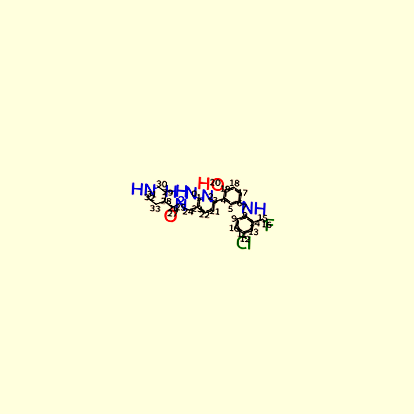 Nc1nc(-c2cc(Nc3ccc(Cl)cc3CF)ccc2O)ccc1CNC(=O)C1CCNCC1